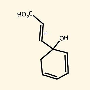 O=C(O)/C=C/C1(O)C=CC=CC1